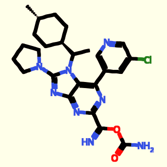 CC([C@H]1CC[C@H](C)CC1)n1c(N2CCCC2)nc2nc(C(=N)OC(N)=O)nc(-c3cncc(Cl)c3)c21